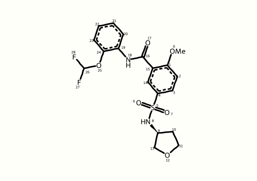 COc1ccc(S(=O)(=O)N[C@H]2CCOC2)cc1C(=O)Nc1ccccc1OC(F)F